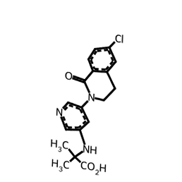 CC(C)(Nc1cncc(N2CCc3cc(Cl)ccc3C2=O)c1)C(=O)O